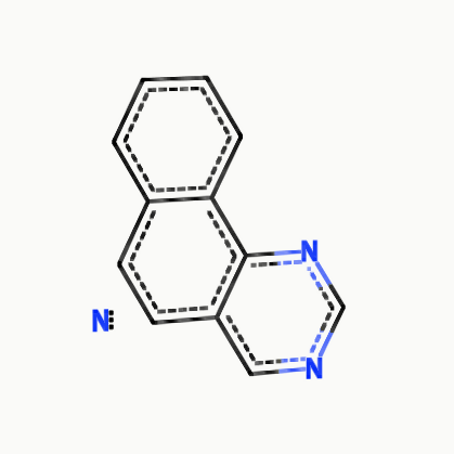 [N].c1ccc2c(c1)ccc1cncnc12